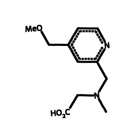 COCc1ccnc(CN(C)CC(=O)O)c1